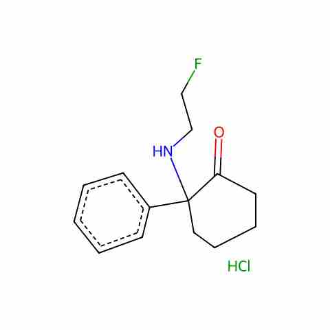 Cl.O=C1CCCCC1(NCCF)c1ccccc1